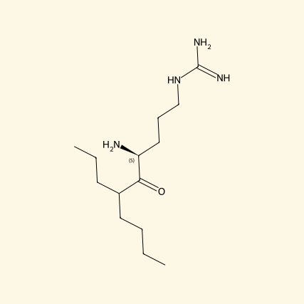 CCCCC(CCC)C(=O)[C@@H](N)CCCNC(=N)N